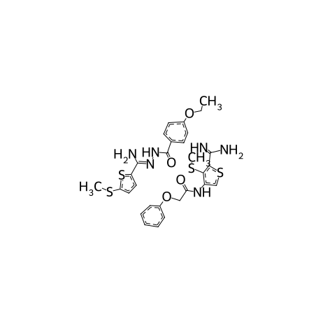 CCOc1ccc(C(=O)NN=C(N)c2ccc(SC)s2)cc1.CSc1c(NC(=O)COc2ccccc2)csc1C(=N)N